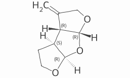 C=C1CO[C@@H]2O[C@H]3OCC[C@H]3[C@H]12